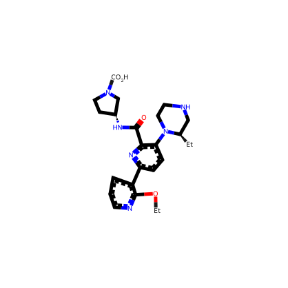 CCOc1ncccc1-c1ccc(N2CCNC[C@H]2CC)c(C(=O)N[C@@H]2CCN(C(=O)O)C2)n1